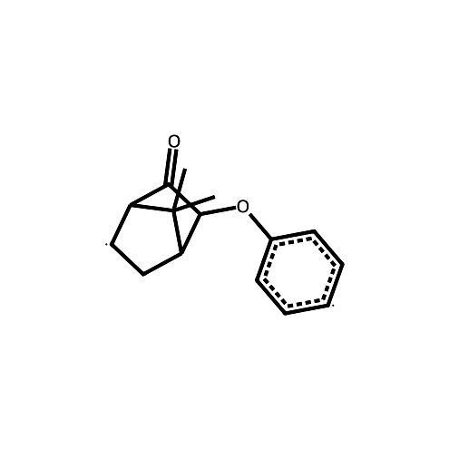 CC1(C)C2[CH]CC1C(Oc1cc[c]cc1)C2=O